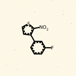 O=[N+]([O-])c1sccc1-c1cccc(F)c1